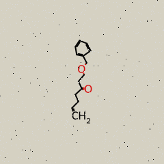 C=CCCC(=O)CCOCc1ccccc1